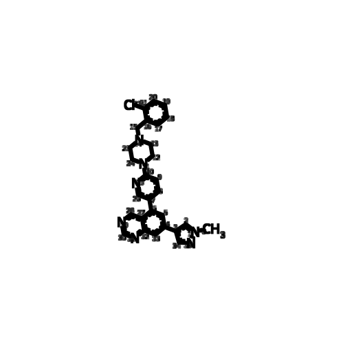 Cn1cc(-c2cc(-c3ccc(N4CCN(Cc5ccccc5Cl)CC4)nc3)c3cncnc3c2)cn1